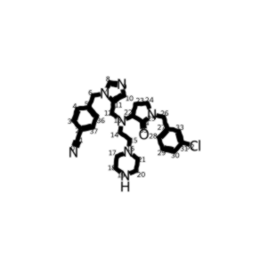 N#Cc1ccc(Cn2cncc2CN(CCN2CCNCC2)C2CCN(Cc3cccc(Cl)c3)C2=O)cc1